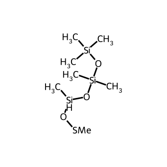 CSO[SiH](C)O[Si](C)(C)O[Si](C)(C)C